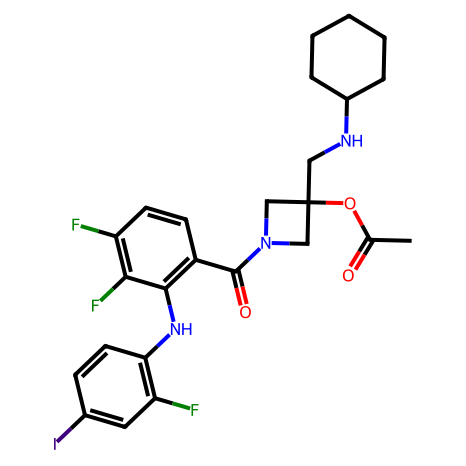 CC(=O)OC1(CNC2CCCCC2)CN(C(=O)c2ccc(F)c(F)c2Nc2ccc(I)cc2F)C1